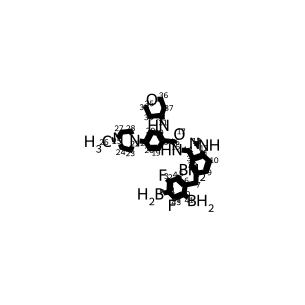 Bc1c(F)c(B)c(Cc2ccc3[nH]nc(NC(=O)c4ccc(N5CCN(C)CC5)cc4NC4CCOCC4)c3c2)c(B)c1F